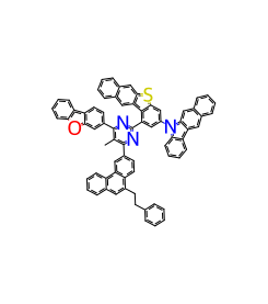 Cc1c(-c2ccc3c(c2)oc2ccccc23)nc(-c2cc(-n3c4ccccc4c4cc5ccccc5cc43)cc3sc4cc5ccccc5cc4c23)nc1-c1ccc2c(CCc3ccccc3)cc3ccccc3c2c1